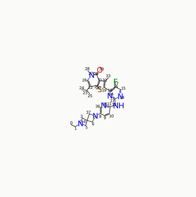 CCN1CC2(C1)CN(c1ccc(Nc3ncc(F)c(-c4sc5c(C(C)C)cn(C)c(=O)c5c4C)n3)nc1)C2